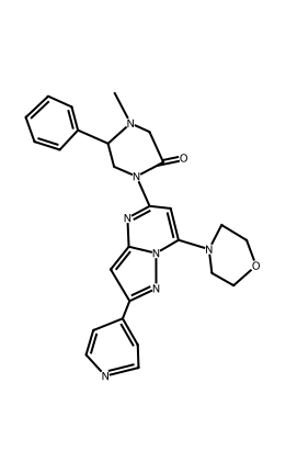 CN1CC(=O)N(c2cc(N3CCOCC3)n3nc(-c4ccncc4)cc3n2)CC1c1ccccc1